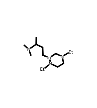 CCN1CC[N](CC)[In]([CH2]CC(C)N(C)C)[CH2]1